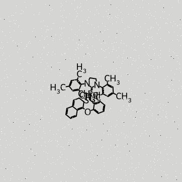 Cc1cc(C)c(N2CCN(c3c(C)cc(C)cc3C)[C]2=[Ru]([Cl])([Cl])=[CH]c2ccccc2OC2=c3ccccc3=CCC2=S)c(C)c1